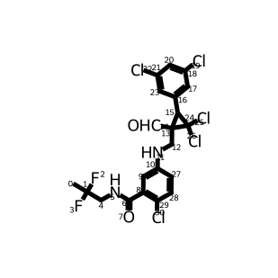 CC(F)(F)CNC(=O)c1cc(NCC2(C=O)C(c3cc(Cl)cc(Cl)c3)C2(Cl)Cl)ccc1Cl